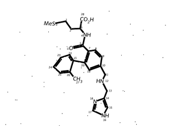 CSCCC(NC(=O)c1ccc(CNCc2c[nH]cn2)cc1-c1ccccc1C)C(=O)O